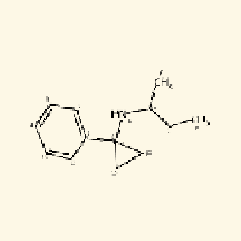 CCC(C)NC1(c2ccccc2)CC1